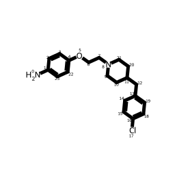 Nc1ccc(OCCN2CCC(Cc3ccc(Cl)cc3)CC2)cc1